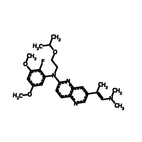 COc1cc(OC)c(F)c(N(CCOC(C)C)c2ccc3ncc(/C(C)=C/N(C)C)cc3n2)c1